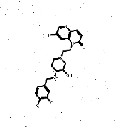 O=c1ccc2ncc(F)cc2n1CCN1CC[C@H](NCc2ccc(Cl)c(Cl)c2)C(O)C1